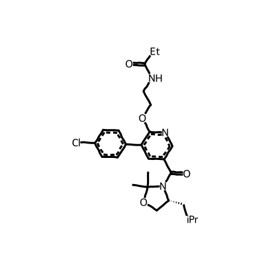 CCC(=O)NCCOc1ncc(C(=O)N2[C@H](CC(C)C)COC2(C)C)cc1-c1ccc(Cl)cc1